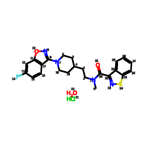 CN(CCC1CCN(c2noc3cc(F)ccc23)CC1)C(=O)c1nsc2ccccc12.Cl.O